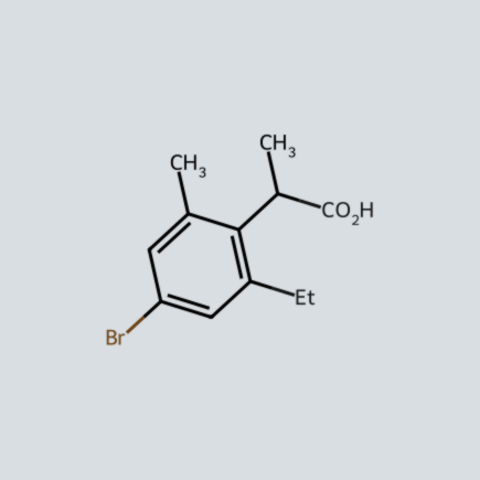 CCc1cc(Br)cc(C)c1C(C)C(=O)O